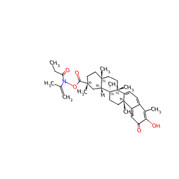 C=C(C)N(OC(=O)[C@]1(C)CC[C@]2(C)CC[C@]3(C)C4=CC=C5C(=CC(=O)C(O)=C5C)[C@]4(C)CC[C@@]3(C)[C@@H]2C1)C(=O)CC